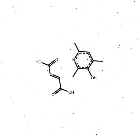 Cc1cc(C)c(O)c(C)n1.O=C(O)C=CC(=O)O